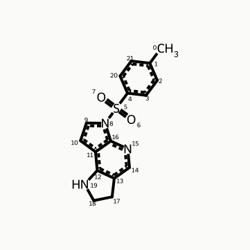 Cc1ccc(S(=O)(=O)n2ccc3c4c(cnc32)CCN4)cc1